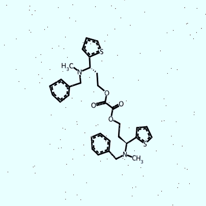 CN(Cc1ccccc1)[C@@H](CCOC(=O)C(=O)OCC[C@@H](c1cccs1)N(C)Cc1ccccc1)c1cccs1